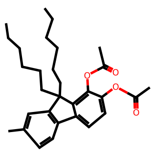 CCCCCCC1(CCCCCC)c2cc(C)ccc2-c2ccc(OC(C)=O)c(OC(C)=O)c21